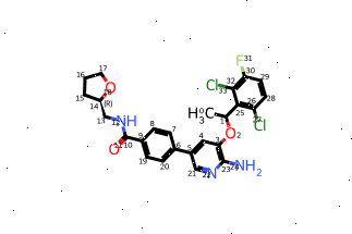 CC(Oc1cc(-c2ccc(C(=O)NC[C@H]3CCCO3)cc2)cnc1N)c1c(Cl)ccc(F)c1Cl